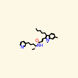 CCCCCc1c(/C=C/C(=O)N[C@H](CC)CCCc2cccnc2)n(C)c2cc(C)ccc12